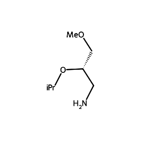 COC[C@H](CN)OC(C)C